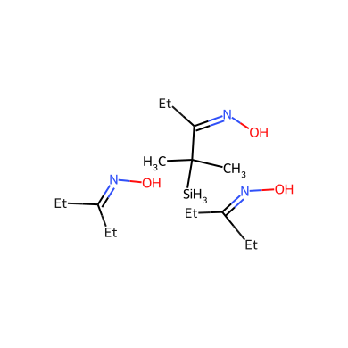 CCC(=NO)C(C)(C)[SiH3].CCC(CC)=NO.CCC(CC)=NO